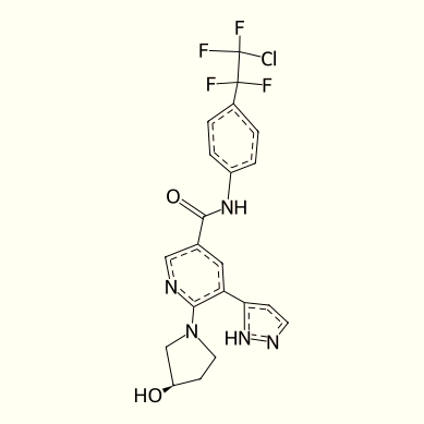 O=C(Nc1ccc(C(F)(F)C(F)(F)Cl)cc1)c1cnc(N2CC[C@@H](O)C2)c(-c2ccn[nH]2)c1